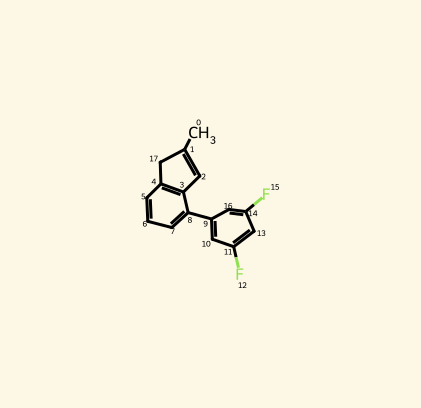 CC1=Cc2c(cccc2-c2cc(F)cc(F)c2)C1